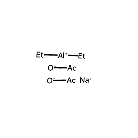 CC(=O)[O-].CC(=O)[O-].C[CH2][Al+][CH2]C.[Na+]